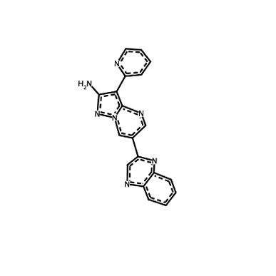 Nc1nn2cc(-c3cnc4ccccc4n3)cnc2c1-c1ccccn1